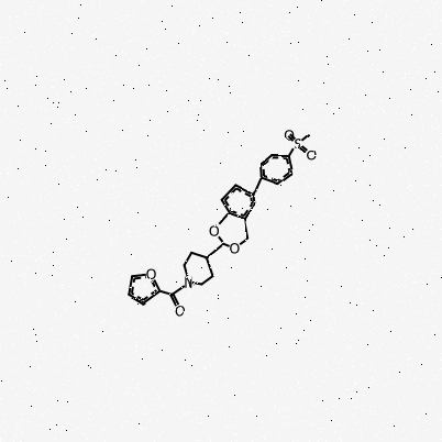 CS(=O)(=O)c1ccc(-c2ccc3c(c2)COC(C2CCN(C(=O)c4ccco4)CC2)O3)cc1